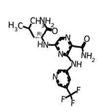 CC(C)C[C@@H](Nc1cnc(C(N)=O)c(Nc2cncc(C(F)(F)F)c2)n1)C(N)=O